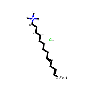 CCCCCC=CCC=CCCCCCCCC[N+](C)(C)C.[Cl-]